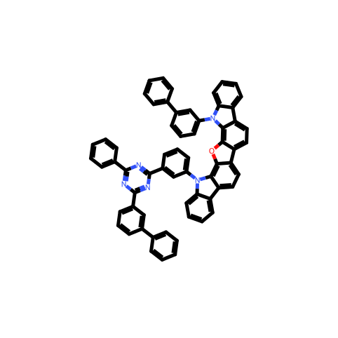 c1ccc(-c2cccc(-c3nc(-c4ccccc4)nc(-c4cccc(-n5c6ccccc6c6ccc7c8ccc9c%10ccccc%10n(-c%10cccc(-c%11ccccc%11)c%10)c9c8oc7c65)c4)n3)c2)cc1